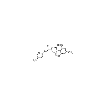 CCc1cc(C)cc(CC)c1C1=C(O)CC(C(C)CSc2ncc(C(F)(F)F)cn2)CC1=O